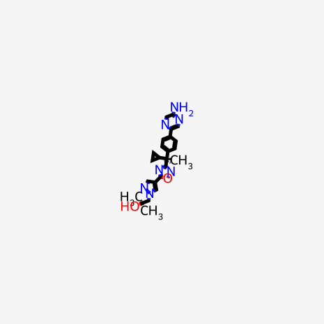 CC(C)(O)Cn1cc(-c2nc([C@@](C)(c3ccc(-c4cnc(N)cn4)cc3)C3CC3)no2)cn1